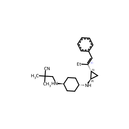 CC/C(=C\c1ccccc1)[C@@H]1C[C@H]1N[C@H]1CC[C@H](NCC(C)(C)C#N)CC1